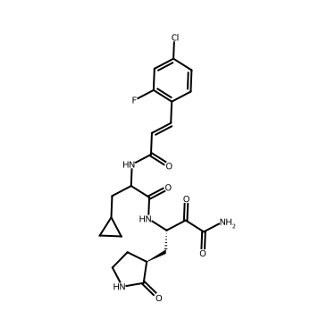 NC(=O)C(=O)[C@H](C[C@@H]1CCNC1=O)NC(=O)C(CC1CC1)NC(=O)/C=C/c1ccc(Cl)cc1F